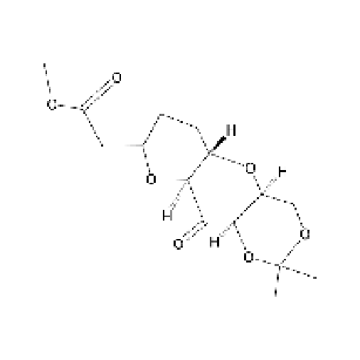 COC(=O)CC1CC[C@@H]2O[C@H]3COC(C)(C)O[C@H]3C(=O)[C@H]2O1